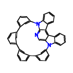 c1cc2cc(c1)c1cccc(c1)n1c3ccccc3c3c4c5ccccc5n(c5cccc(c5)c5cccc2c5)c4ncc31